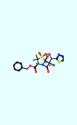 CC1(C)[C@H](C(=O)OCc2ccccc2)N2C(=O)[C@@](Br)(C(O)c3nccs3)[C@H]2S1(=O)=O